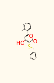 Cc1ccccc1-c1cc(O)c(SCc2ccccc2)c(=O)o1